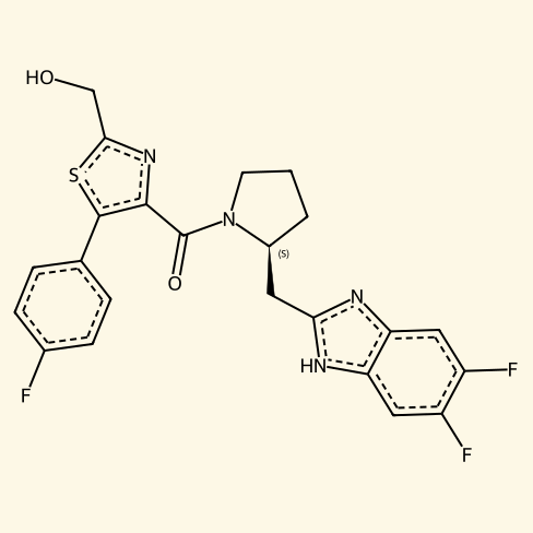 O=C(c1nc(CO)sc1-c1ccc(F)cc1)N1CCC[C@H]1Cc1nc2cc(F)c(F)cc2[nH]1